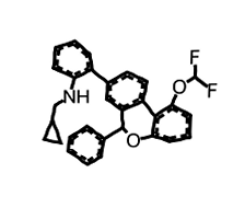 FC(F)Oc1cccc2c1-c1ccc(-c3ccccc3NCC3CC3)cc1C(c1ccccc1)O2